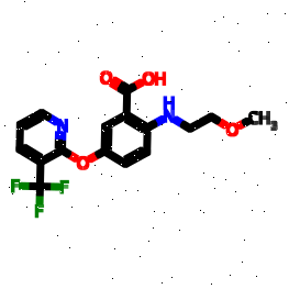 COCCNc1ccc(Oc2ncccc2C(F)(F)F)cc1C(=O)O